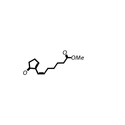 COC(=O)CCCC/C=C\C1=CCCC1=O